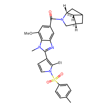 CCc1c(-c2nc3cc(C(=O)N4C[C@H]5CC6C[C@@H]4[C@H]65)cc(OC)c3n2C)ccn1S(=O)(=O)c1ccc(C)cc1